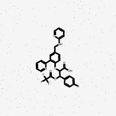 O=C(O)C(Oc1ccc(CNc2ccccn2)cc1-c1ccccn1)C(OC(=O)C(F)(F)F)c1ccc(F)cc1